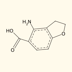 Nc1c(C(=O)O)ccc2c1CCO2